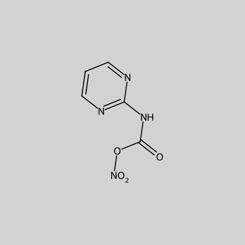 O=C(Nc1ncccn1)O[N+](=O)[O-]